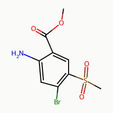 COC(=O)c1cc(S(C)(=O)=O)c(Br)cc1N